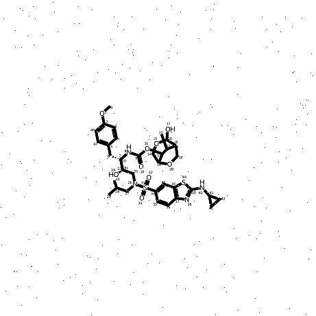 COc1ccc(C[C@H](NC(=O)OC2C3COC(O)C(CO3)C2C)[C@H](O)CN(CC(C)C)S(=O)(=O)c2ccc3nc(NC4CC4)sc3c2)cc1